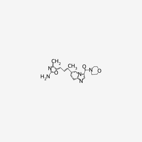 C=c1nc(N)oc1=C/C=C(\C)c1ccc2ncc(C(=O)N3CCOCC3)n2c1